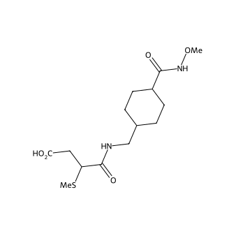 CONC(=O)C1CCC(CNC(=O)C(CC(=O)O)SC)CC1